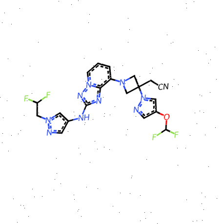 N#CCC1(n2cc(OC(F)F)cn2)CN(c2cccn3nc(Nc4cnn(CC(F)F)c4)nc23)C1